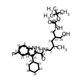 C[C@@H](CNC(=O)c1[nH]c2ccc(F)cc2c1C1CCCCC1)CC(CO)CNC(=O)OC(C)(C)C